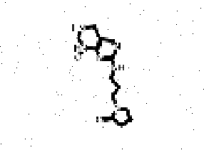 O=C1CCCN1CCCNc1ncc2c(n1)[NH+]([O-])CNC2